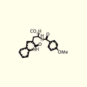 COc1ccc(C(=O)NC(Cc2cc3ccccc3[nH]c2=O)C(=O)O)cc1